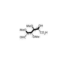 CO[C@H]([C@H](OC)[C@H](C=O)OC)[C@H](O)C(=O)O